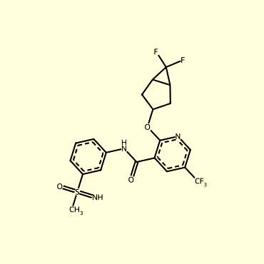 CS(=N)(=O)c1cccc(NC(=O)c2cc(C(F)(F)F)cnc2OC2CC3C(C2)C3(F)F)c1